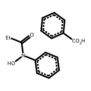 CCC(=O)N(O)c1ccccc1.O=C(O)c1ccccc1